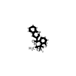 CC1(C)N2OC2(c2cnc3ccccc3c2)c2cccc(F)c2C1(F)F